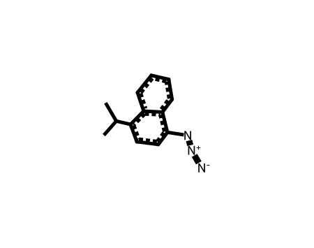 CC(C)c1ccc(N=[N+]=[N-])c2ccccc12